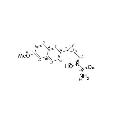 COc1ccc2cc(C3CC3CN(O)C(N)=O)ccc2c1